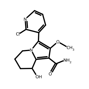 COc1c(C(N)=O)c2n(c1-c1cccnc1Cl)CCCC2O